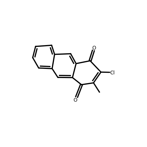 CC1=C(Cl)C(=O)c2cc3ccccc3cc2C1=O